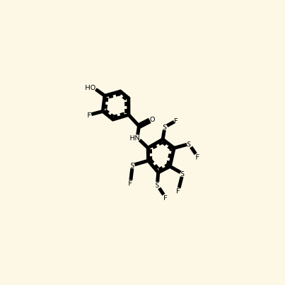 O=C(Nc1c(SF)c(SF)c(SF)c(SF)c1SF)c1ccc(O)c(F)c1